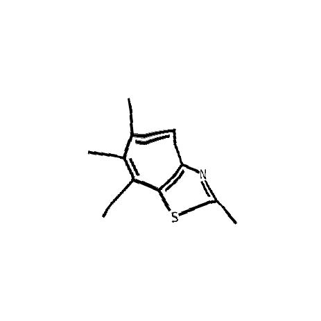 Cc1nc2cc(C)c(C)c(C)c2s1